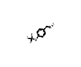 FC(F)(F)Sc1ccc(CN=S)cc1